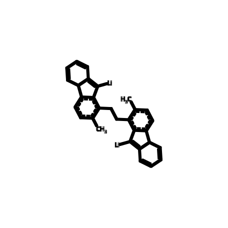 [Li][C]1=C2C=CC=CC2c2ccc(C)c(CCc3c(C)ccc4c3[C]([Li])=C3C=CC=CC34)c21